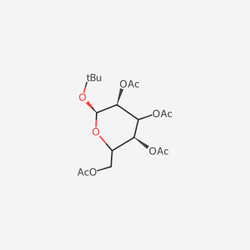 CC(=O)OCC1O[C@@H](OC(C)(C)C)[C@@H](OC(C)=O)C(OC(C)=O)[C@H]1OC(C)=O